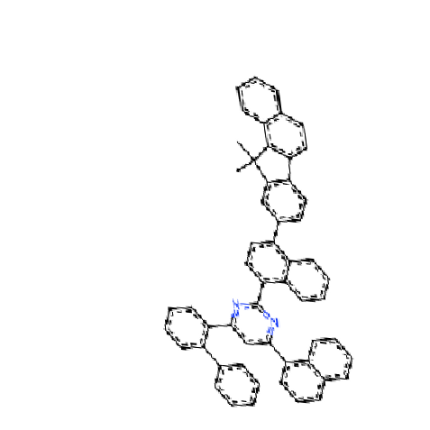 CC1(C)c2cc(-c3ccc(-c4nc(-c5ccccc5-c5ccccc5)cc(-c5cccc6ccccc56)n4)c4ccccc34)ccc2-c2ccc3ccccc3c21